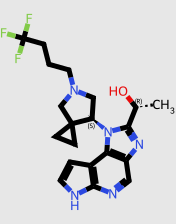 C[C@@H](O)c1nc2cnc3[nH]ccc3c2n1[C@@H]1CN(CCCC(F)(F)F)CC12CC2